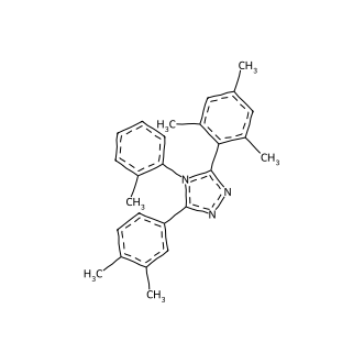 Cc1cc(C)c(-c2nnc(-c3ccc(C)c(C)c3)n2-c2ccccc2C)c(C)c1